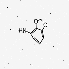 [NH]c1cccc2c1OCO2